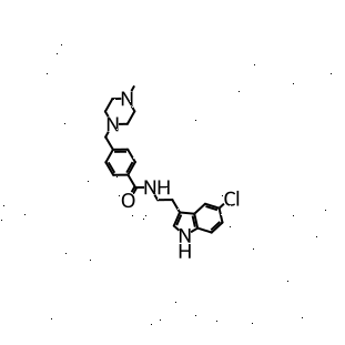 CN1CCN(Cc2ccc(C(=O)NCCc3c[nH]c4ccc(Cl)cc34)cc2)CC1